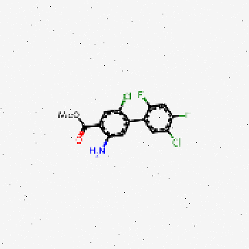 COC(=O)c1cc(Cl)c(-c2cc(Cl)c(F)cc2F)cc1N